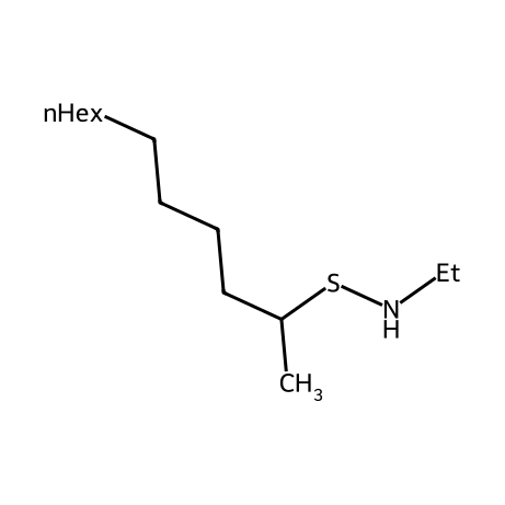 CCCCCCCCCCC(C)SNCC